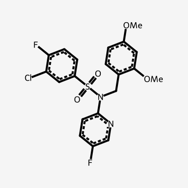 COc1ccc(CN(c2ccc(F)cn2)S(=O)(=O)c2ccc(F)c(Cl)c2)c(OC)c1